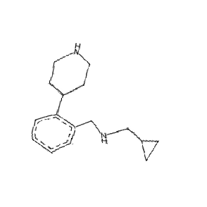 [c]1cccc(C2CCNCC2)c1CNCC1CC1